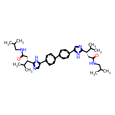 CC(C)CNC(=O)C[C@H](c1ncc(-c2ccc(-c3ccc(-c4cnc([C@@H](CC(=O)NCC(C)C)C(C)C)[nH]4)cc3)cc2)[nH]1)C(C)C